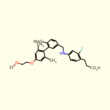 CCOCCOc1cc(C)c(-c2cc(CNc3ccc(CCC(=O)O)c(F)c3)ccc2OC)c(C)c1